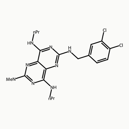 CCCNc1nc(NCc2ccc(Cl)c(Cl)c2)nc2c(NCCC)nc(NC)nc12